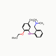 COCOc1ccc(C)cc1Pc1ccccc1CN(C)C